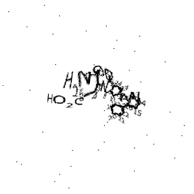 NC(=O)C(CCC(=O)O)N1Cc2cc(-n3nccc3-c3ccccc3)ccc2C1=O